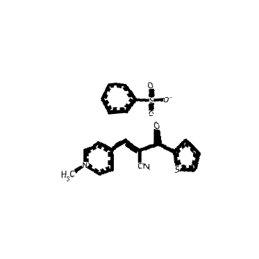 C[n+]1ccc(/C=C(\C#N)C(=O)c2cccs2)cc1.O=S(=O)([O-])c1ccccc1